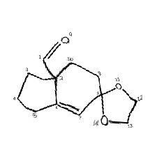 O=CC12CCCC1=CC1(CC2)OCCO1